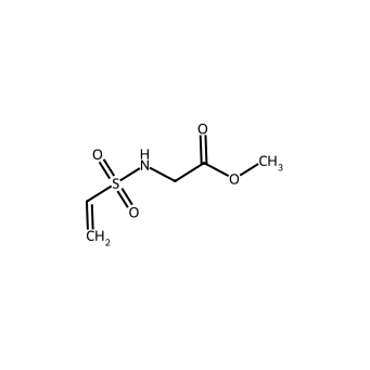 C=CS(=O)(=O)NCC(=O)OC